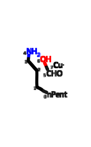 CCCCCCCCN.O=CO.[Cu]